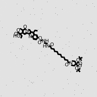 CCc1c2c(nc3ccc(OC(=O)NCCNC(=O)CCCCCCCCCCC(=O)N4CCC(C(=O)OC(C)(C)C)(C(=O)OC(C)(C)C)CC4)cc13)-c1cc3c(c(=O)n1C2)COC(=O)[C@]3(O)CC